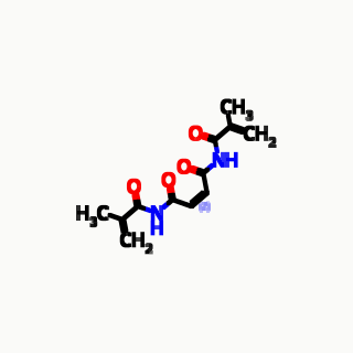 C=C(C)C(=O)NC(=O)/C=C\C(=O)NC(=O)C(=C)C